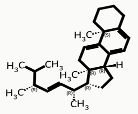 CC(C)[C@@H](C)C=C[C@@H](C)[C@H]1CC[C@H]2C3=CC=C4CCCC[C@]4(C)C3=CC[C@]12C